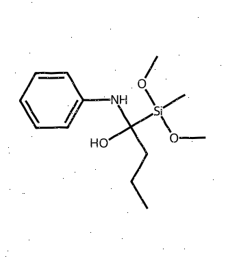 CCCC(O)(Nc1ccccc1)[Si](C)(OC)OC